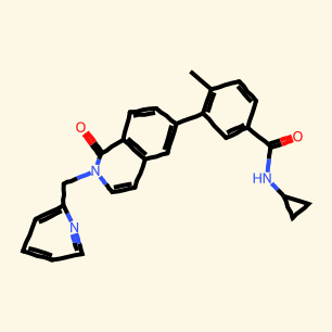 Cc1ccc(C(=O)NC2CC2)cc1-c1ccc2c(=O)n(Cc3ccccn3)ccc2c1